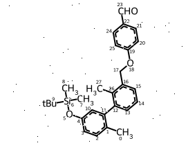 Cc1ccc(O[Si](C)(C)C(C)(C)C)cc1-c1cccc(COc2ccc(C=O)cc2)c1C